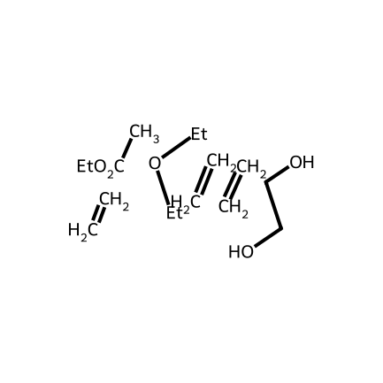 C=C.C=C.C=C.CCOC(C)=O.CCOCC.OCCO